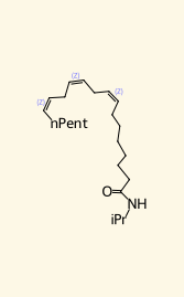 CCCCC/C=C\C/C=C\C/C=C\CCCCCCC(=O)NC(C)C